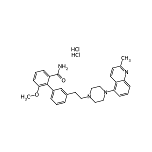 COc1cccc(C(N)=O)c1-c1cccc(CCN2CCN(c3cccc4nc(C)ccc34)CC2)c1.Cl.Cl